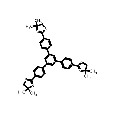 CC1(C)CSC(c2ccc(-c3cc(-c4ccc(C5=NC(C)(C)CS5)cc4)cc(-c4ccc(C5=NC(C)(C)CS5)cc4)c3)cc2)=N1